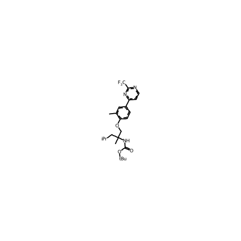 Cc1cc(-c2ccnc(C(F)(F)F)n2)ccc1OCC(C)(CC(C)C)NC(=O)OC(C)(C)C